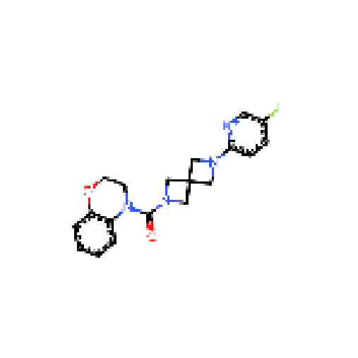 O=C(N1CC2(C1)CN(c1ccc(F)cn1)C2)N1CCOc2ccccc21